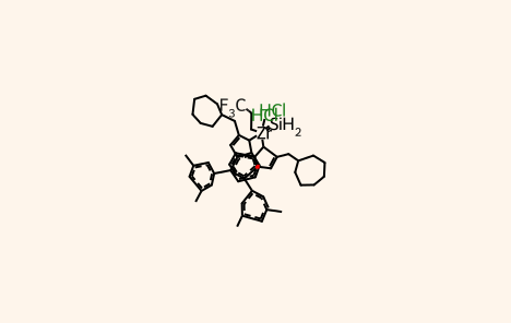 Cc1cc(C)cc(-c2cccc3c2C=C(CC2CCCCCC2)[CH]3[Zr]([CH3])(=[SiH2])([CH2]CC(F)(F)F)[CH]2C(CC3CCCCCC3)=Cc3c(-c4cc(C)cc(C)c4)cccc32)c1.Cl.Cl